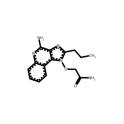 CCCc1nc2c(N)nc3ccccc3c2n1OCC(N)=O